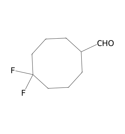 O=CC1CCCC(F)(F)CCC1